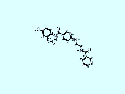 Cc1ccc(NC(=O)c2ccc(NCCNC(=O)c3cccnc3)nc2)c(N)c1